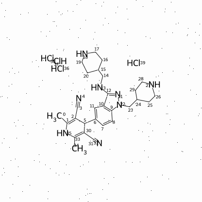 CC1=C(C#N)C(c2ccc3c(c2)c(NCC2CCNCC2)nn3CC2CCNCC2)C(C#N)=C(C)N1.Cl.Cl.Cl.Cl